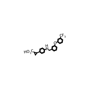 O=C(O)C1CC1c1ccc(NCc2cccc(Oc3cccc(C(F)(F)F)c3)c2)cc1